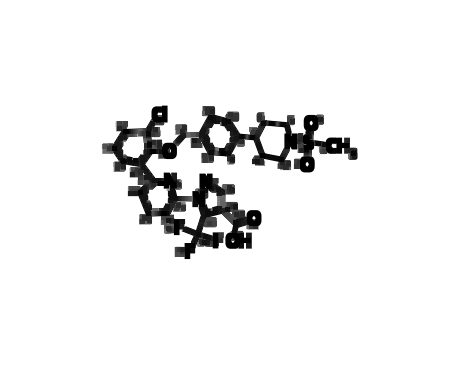 CS(=O)(=O)N1CCC(c2ccc(COc3c(Cl)cccc3-c3cccc(-n4ncc(C(=O)O)c4C(F)(F)F)n3)cc2)CC1